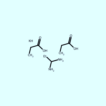 CCC(=O)O.CCC(=O)O.CCC(N)N.[KH]